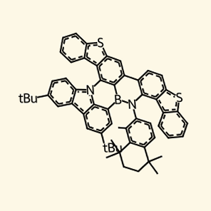 Cc1c(N2B3c4c(cc5sc6ccccc6c5c4-n4c5ccc(C(C)(C)C)cc5c5cc(C(C)(C)C)cc3c54)-c3ccc4sc5ccccc5c4c32)ccc2c1C(C)(C)CCC2(C)C